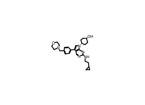 O[C@H]1CC[C@H](n2cc(-c3ccc(CN4CCOCC4)cc3)c3cnc(NCCC4CC4)nc32)CC1